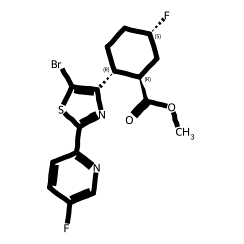 COC(=O)[C@@H]1C[C@@H](F)CC[C@H]1c1nc(-c2ccc(F)cn2)sc1Br